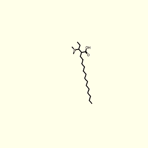 CCCCCCCCCCCCCCC(C(=O)O)C(CC)N(C)C